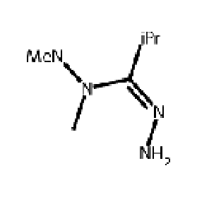 CNN(C)/C(=N\N)C(C)C